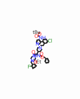 CCOc1cccc(F)c1CN1CCN(C(=O)[C@H](NC(=O)OCc2ccccc2)C2CCN(CCc3cc(Cl)ccc3-c3cnccc3NC(=O)OC(C)(C)C)CC2)CC1